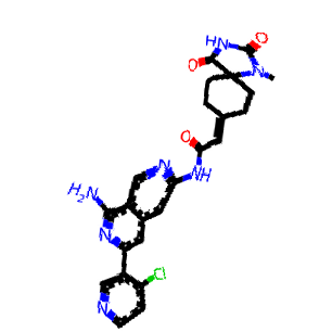 CN1C(=O)NC(=O)C12CCC(=CC(=O)Nc1cc3cc(-c4cnccc4Cl)nc(N)c3cn1)CC2